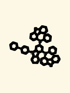 c1ccc(-c2ccc(-n3c4ccccc4c4c(N(c5ccccc5)c5cccc6oc7ccccc7c56)cc(N(c5ccccc5)c5cccc6oc7ccccc7c56)cc43)cc2)cc1